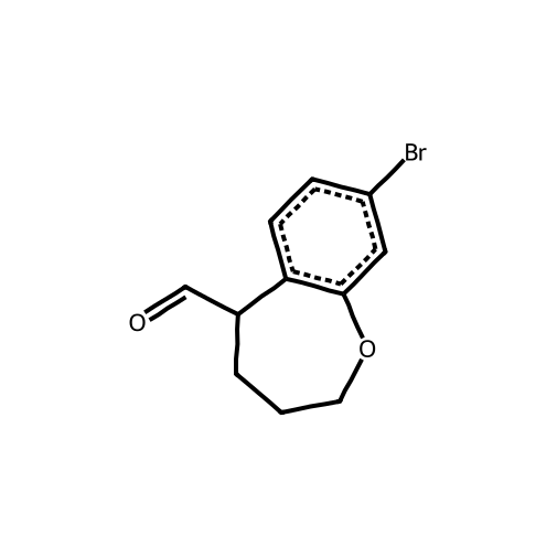 O=CC1CCCOc2cc(Br)ccc21